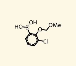 COCOc1c(Cl)cccc1B(O)O